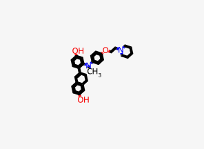 CN(c1ccc(OCCN2CCCCC2)cc1)c1cc(O)ccc1C1=Cc2ccc(O)cc2CC1